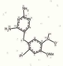 COc1cc(C(C)C)c(Sc2cnc(N)nc2N)cc1[S+](C)[O-]